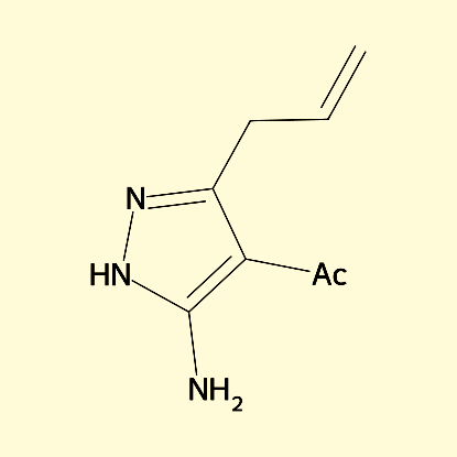 C=CCc1n[nH]c(N)c1C(C)=O